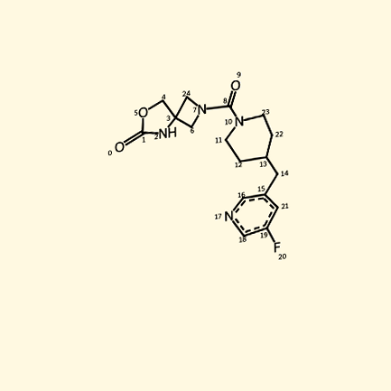 O=C1NC2(CO1)CN(C(=O)N1CCC(Cc3cncc(F)c3)CC1)C2